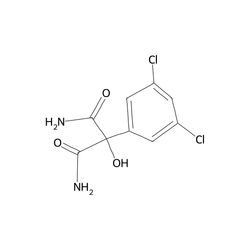 NC(=O)C(O)(C(N)=O)c1cc(Cl)cc(Cl)c1